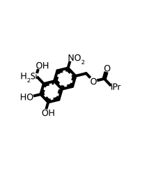 CC(C)C(=O)OCc1cc2cc(O)c(O)c([SiH2]O)c2cc1[N+](=O)[O-]